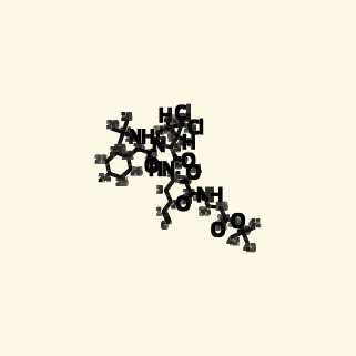 C=CCCC(NC(=O)[C@@H]1[C@@H]2[C@H](CN1C(=O)[C@@H](NC(C)(C)C)C1CCCCC1)C2(Cl)Cl)C(=O)C(=O)NCCC(=O)OC(C)(C)C